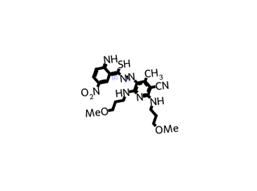 COCCCNc1nc(NCCCOC)c(/N=N/C(S)=C2\C=C([N+](=O)[O-])C=CC2=N)c(C)c1C#N